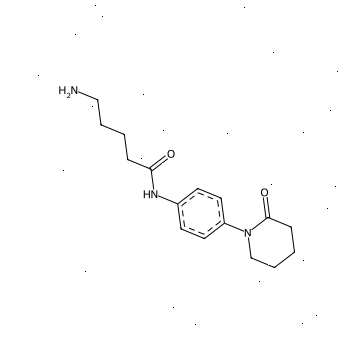 NCCCCC(=O)Nc1ccc(N2CCCCC2=O)cc1